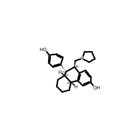 Oc1ccc([C@H]2[C@H]3CCCC[C@H]3c3cc(O)ccc3[C@@H]2CN2CCCC2)cc1